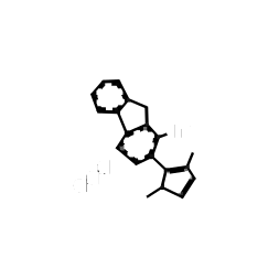 CC1=C(c2ccc3c([c]2[Ti+3])Cc2ccccc2-3)C(C)C=C1.[Cl-].[Cl-].[Cl-]